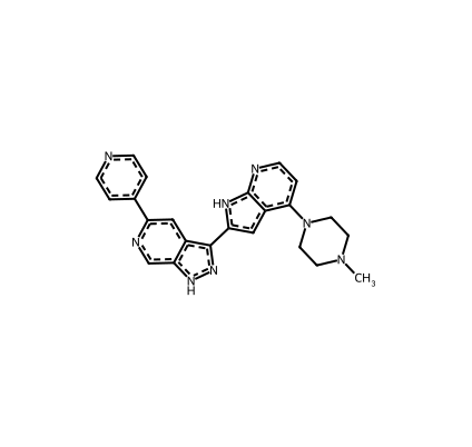 CN1CCN(c2ccnc3[nH]c(-c4n[nH]c5cnc(-c6ccncc6)cc45)cc23)CC1